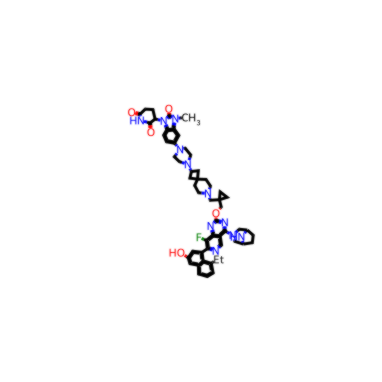 CCc1cccc2cc(O)cc(-c3ncc4c(N5CC6CCC(C5)N6)nc(OCC5(CN6CCC7(CC6)CC(N6CCN(c8ccc9c(c8)n(C)c(=O)n9C8CCC(=O)NC8=O)CC6)C7)CC5)nc4c3F)c12